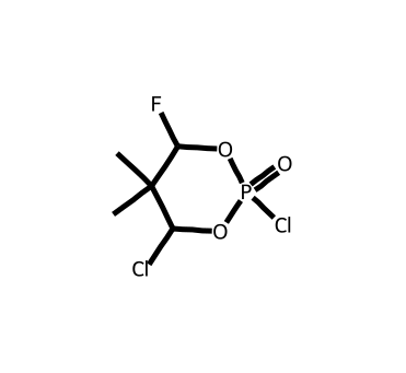 CC1(C)C(F)OP(=O)(Cl)OC1Cl